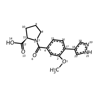 COc1cc(C(=O)N2CCC[C@@H]2C(=O)O)ccc1-c1cn[nH]c1